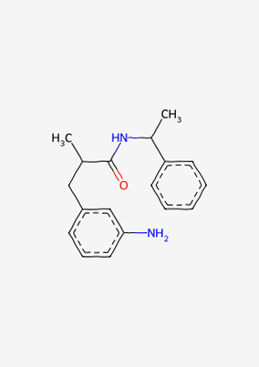 CC(Cc1cccc(N)c1)C(=O)NC(C)c1ccccc1